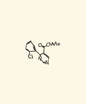 COC(=O)c1cncnc1-c1ccccc1Cl